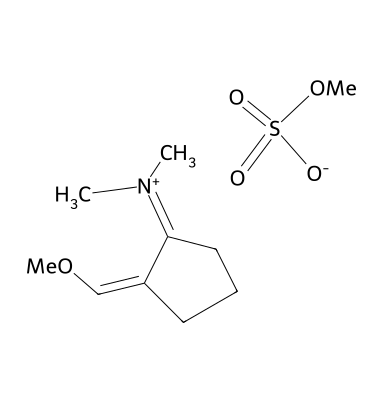 COC=C1CCCC1=[N+](C)C.COS(=O)(=O)[O-]